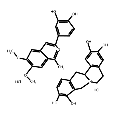 COc1cc2cc(-c3ccc(O)c(O)c3)nc(C)c2cc1OC.Cl.Cl.Oc1cc2c(cc1O)C1Cc3ccc(O)c(O)c3CN1CC2